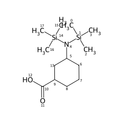 C[Si](C)(C)N(C1CCCC(C(=O)O)C1)[Si](C)(C)C